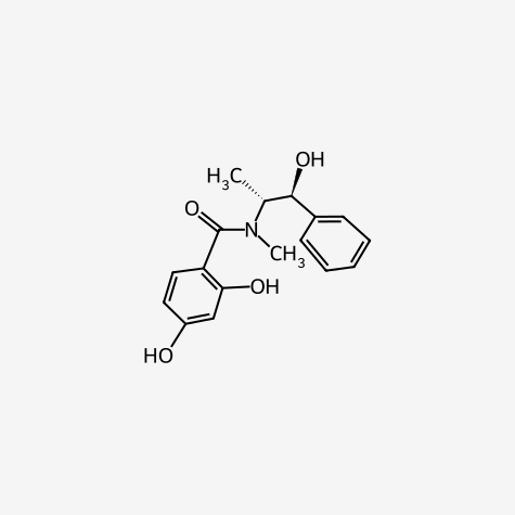 C[C@H]([C@@H](O)c1ccccc1)N(C)C(=O)c1ccc(O)cc1O